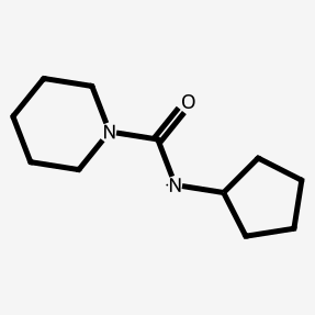 O=C([N]C1CCCC1)N1CCCCC1